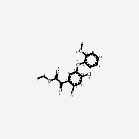 CCOC(=O)C(=O)c1cc(Oc2ccccc2OC)c(Cl)cc1F